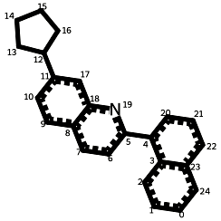 c1ccc2c(-c3ccc4ccc(C5CCCC5)cc4n3)cccc2c1